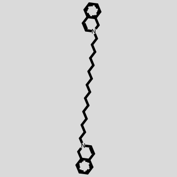 C1=CN(CCCCCCCCCCCCCCCCN2C=Cc3ccccc3C2)Cc2ccccc21